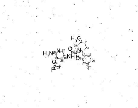 C[C@H]1CC[C@H](c2ccc(F)cc2)N(C(=O)C(=O)Nc2cnc(N)c(OC(F)F)c2)C1